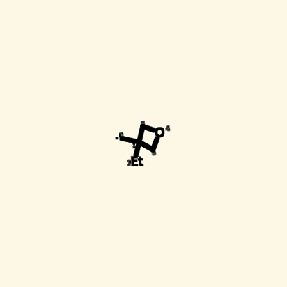 [CH2]C1(CC)COC1